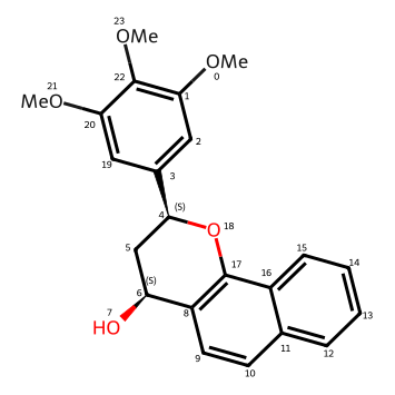 COc1cc([C@@H]2C[C@H](O)c3ccc4ccccc4c3O2)cc(OC)c1OC